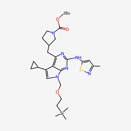 Cc1cc(Nc2nc(CC3CCN(C(=O)OC(C)(C)C)C3)c3c(C4CC4)cn(COCC[Si](C)(C)C)c3n2)sn1